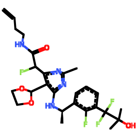 C=CCCNC(=O)C(F)c1nc(C)nc(N[C@H](C)c2cccc(C(F)(F)C(C)(C)O)c2F)c1C1OCCO1